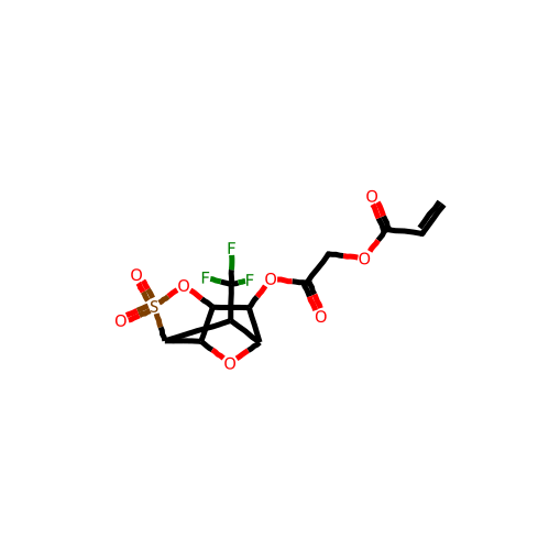 C=CC(=O)OCC(=O)OC1C2OS(=O)(=O)C3C2OC1C3C(F)(F)F